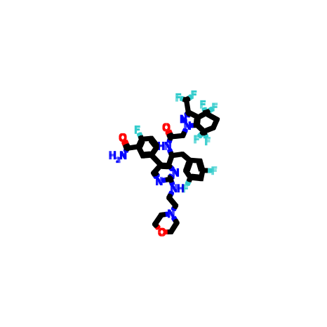 NC(=O)c1cc(-c2cnc(NCCN3CCOCC3)nc2C(Cc2cc(F)cc(F)c2)NC(=O)Cn2nc(C(F)F)c3c2C(F)(F)CCC3(F)F)ccc1F